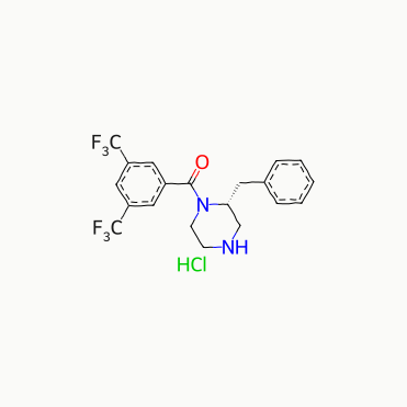 Cl.O=C(c1cc(C(F)(F)F)cc(C(F)(F)F)c1)N1CCNC[C@H]1Cc1ccccc1